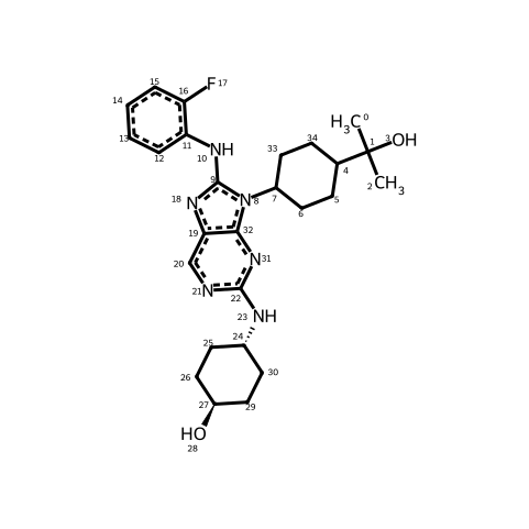 CC(C)(O)C1CCC(n2c(Nc3ccccc3F)nc3cnc(N[C@H]4CC[C@H](O)CC4)nc32)CC1